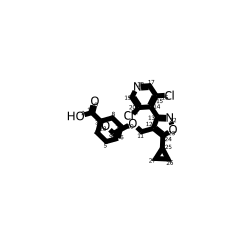 O=C(O)C12CCC(CC1)C(OCc1c(-c3c(Cl)cncc3Cl)noc1C1CC1)O2